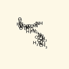 CC(C)c1ccccc1[C@@H]1CN(Cc2ccc(CN(C)C)cc2)CCN1C1CC2(CCN(c3cc(Oc4cnc5[nH]ccc5c4)c(C(=O)NS(=O)(=O)c4ccc(NCC5(F)CCOCC5)c([N+](=O)[O-])c4)cc3F)CC2)C1